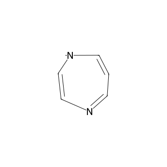 C1=C[N]C=CN=C1